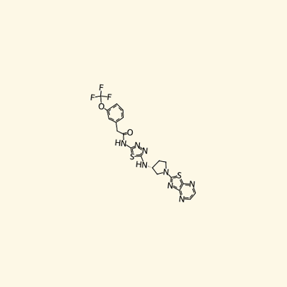 O=C(Cc1cccc(OC(F)(F)F)c1)Nc1nnc(N[C@@H]2CCN(c3nc4nccnc4s3)C2)s1